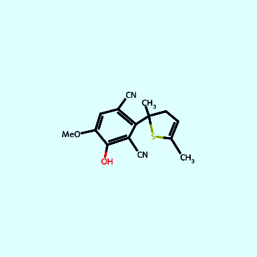 COc1cc(C#N)c(C2(C)CC=C(C)S2)c(C#N)c1O